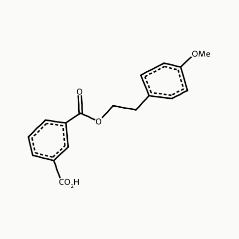 COc1ccc(CCOC(=O)c2cccc(C(=O)O)c2)cc1